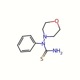 NC(=S)N(c1ccccc1)N1CCOCC1